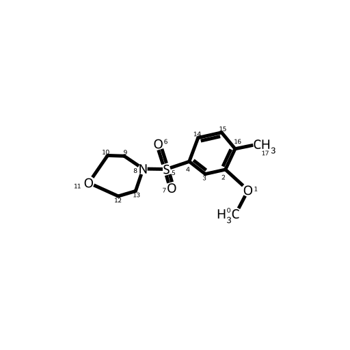 COc1cc(S(=O)(=O)N2CCOCC2)ccc1C